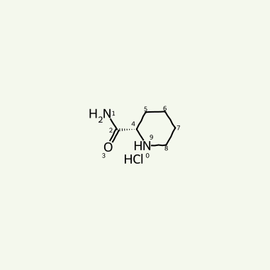 Cl.NC(=O)[C@@H]1CCCCN1